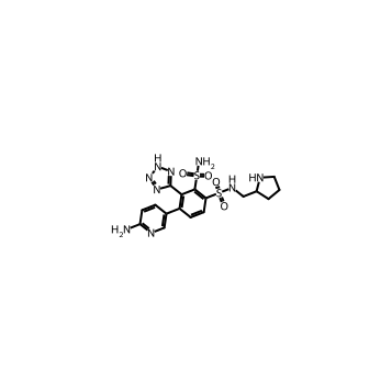 Nc1ccc(-c2ccc(S(=O)(=O)NCC3CCCN3)c(S(N)(=O)=O)c2-c2nn[nH]n2)cn1